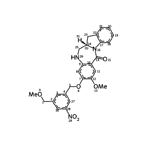 COCc1cc(COc2cc3c(cc2OC)C(=O)N2c4ccccc4C[C@H]2CN3)cc([N+](=O)[O-])c1